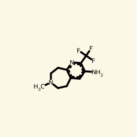 CN1CCc2cc(N)c(C(F)(F)F)nc2CC1